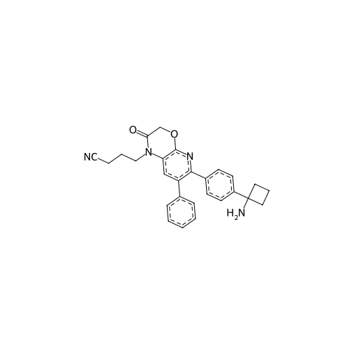 N#CCCCN1C(=O)COc2nc(-c3ccc(C4(N)CCC4)cc3)c(-c3ccccc3)cc21